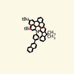 CC(C)(C)c1cc(-c2cccc3cccc(-c4ccccc4N(c4ccc(-c5ccc6ccccc6c5)cc4)c4cccc5c4-c4ccccc4C5(C)C)c23)cc(C(C)(C)C)c1